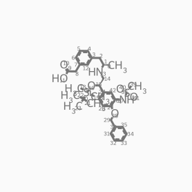 C[C@H](Cc1cccc(CC(=O)O)c1)NC[C@H](O[Si](C)(C)C(C)(C)C)c1ccc(OCc2ccccc2)c(NS(C)(=O)=O)c1